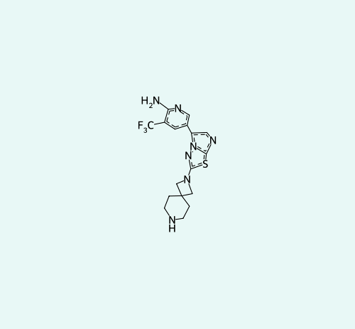 Nc1ncc(-c2cnc3sc(N4CC5(CCNCC5)C4)nn23)cc1C(F)(F)F